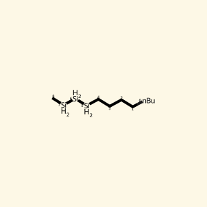 CCCCCCCC[SiH2][SiH2][SiH2]C